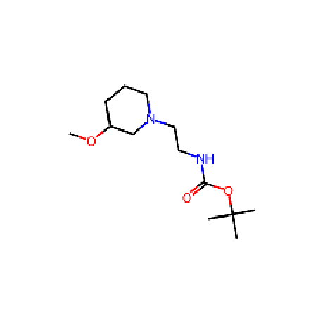 COC1CCCN(CCNC(=O)OC(C)(C)C)C1